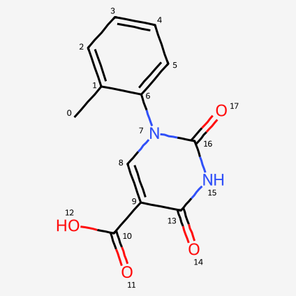 Cc1ccccc1-n1cc(C(=O)O)c(=O)[nH]c1=O